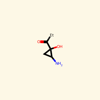 CCC(=O)C1(O)CC1N